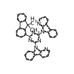 CC1(C)c2ccccc2-c2cccc(-c3nc(-n4c5ccccc5c5cccnc54)nc(-n4c5ccccc5c5cccnc54)n3)c21